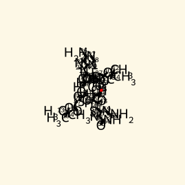 CO[C@H]1[C@H]2OP(=O)(SCC(=O)OC(C)(C)C)OC[C@H]3O[C@@H](n4cnc5c(N)ncnc54)[C@H](F)[C@@H]3P(=O)(SCC(=O)OC(C)(C)C)OC[C@H]1O[C@H]2c1snc2c(=O)[nH]c(N)nc12